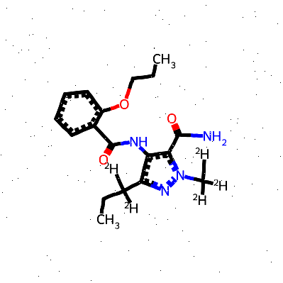 [2H]C([2H])(CC)c1nn(C([2H])([2H])[2H])c(C(N)=O)c1NC(=O)c1ccccc1OCCC